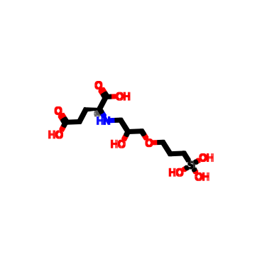 O=C(O)CC[C@H](NCC(O)COCCC[Si](O)(O)O)C(=O)O